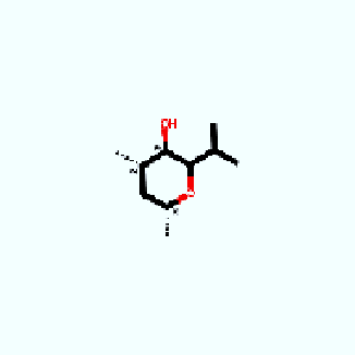 CC(C)C1O[C@H](C)C[C@H](C)[C@H]1O